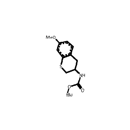 COc1ccc2c(c1)SCC(NC(=O)OC(C)(C)C)C2